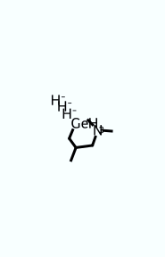 CC([CH2][GeH3])CN(C)C.[H-].[H-].[H-]